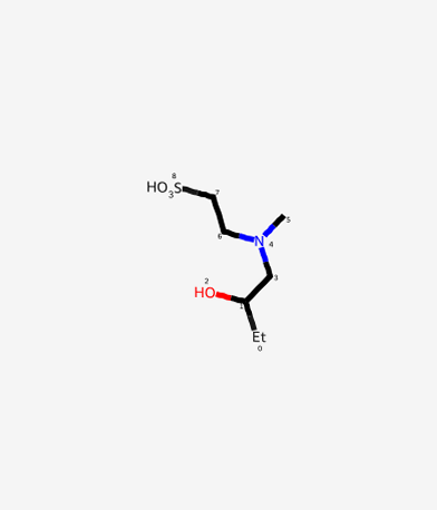 CCC(O)CN(C)CCS(=O)(=O)O